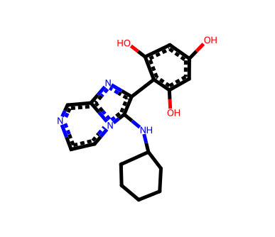 Oc1cc(O)c(-c2nc3cnccn3c2NC2CCCCC2)c(O)c1